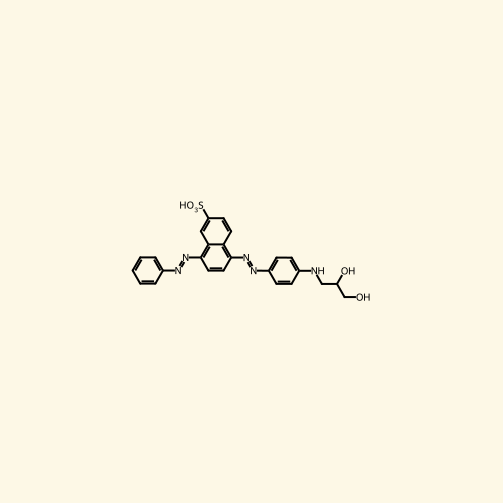 O=S(=O)(O)c1ccc2c(N=Nc3ccc(NCC(O)CO)cc3)ccc(N=Nc3ccccc3)c2c1